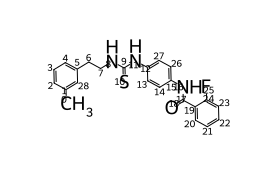 Cc1cccc(CCNC(=S)Nc2ccc(NC(=O)c3ccccc3F)cc2)c1